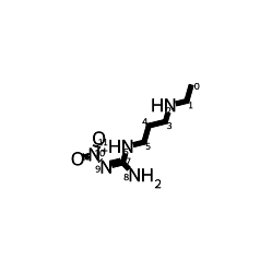 CCNCCCN/C(N)=N\[N+](=O)[O-]